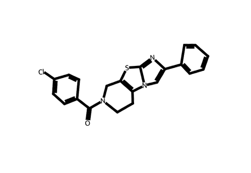 O=C(c1ccc(Cl)cc1)N1CCc2c(sc3nc(-c4ccccc4)cn23)C1